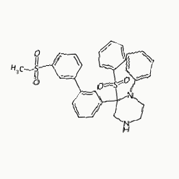 CS(=O)(=O)c1cccc(-c2cccc(C3(S(=O)(=O)c4ccccc4)CNCCN3c3ccccc3)c2)c1